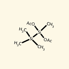 CC(=O)O[Si](C)(OC(C)=O)[Si](C)(C)C